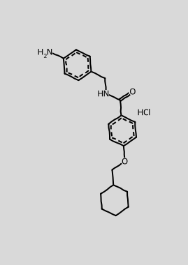 Cl.Nc1ccc(CNC(=O)c2ccc(OCC3CCCCC3)cc2)cc1